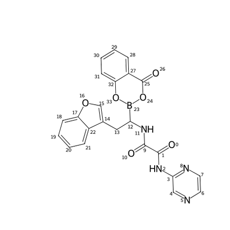 O=C(Nc1cnccn1)C(=O)NC(Cc1coc2ccccc12)B1OC(=O)c2ccccc2O1